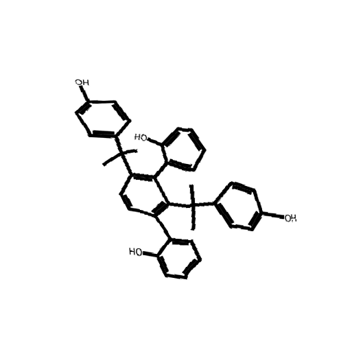 CC(C)(c1ccc(O)cc1)c1ccc(-c2ccccc2O)c(C(C)(C)c2ccc(O)cc2)c1-c1ccccc1O